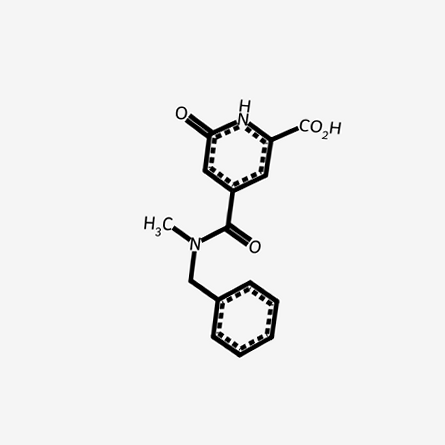 CN(Cc1ccccc1)C(=O)c1cc(C(=O)O)[nH]c(=O)c1